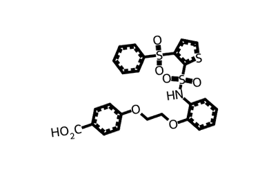 O=C(O)c1ccc(OCCOc2ccccc2NS(=O)(=O)c2sccc2S(=O)(=O)c2ccccc2)cc1